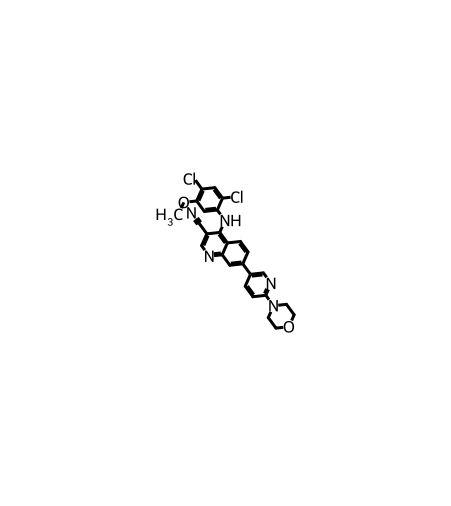 COc1cc(Nc2c(C#N)cnc3cc(-c4ccc(N5CCOCC5)nc4)ccc23)c(Cl)cc1Cl